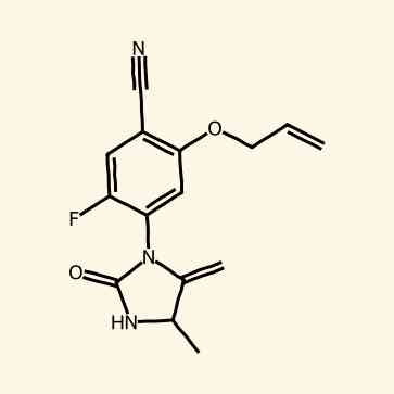 C=CCOc1cc(N2C(=C)C(C)NC2=O)c(F)cc1C#N